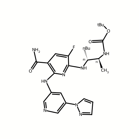 CCCC[C@@H](Nc1nc(Nc2cncc(-n3cccn3)c2)c(C(N)=O)cc1F)[C@H](C)NC(=O)OC(C)(C)C